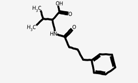 CC(C)C(NC(=O)CCCc1ccccc1)C(=O)O